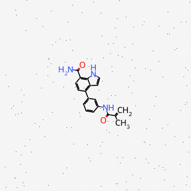 C=C(C)C(=O)Nc1cccc(-c2ccc(C(N)=O)c3[nH]ccc23)c1